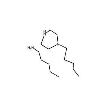 CCCCCN.CCCCCN1CCNCC1